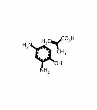 C=C(C)C(=O)O.Nc1ccc(O)c(N)c1